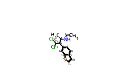 CCNC(C)C(c1ccc2ccsc2c1)C(Cl)Cl